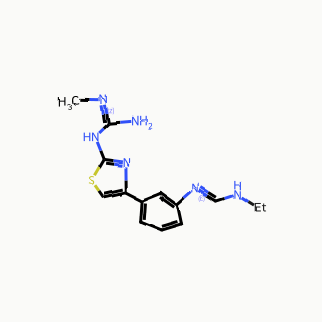 CCN/C=N/c1cccc(-c2csc(N/C(N)=N\C)n2)c1